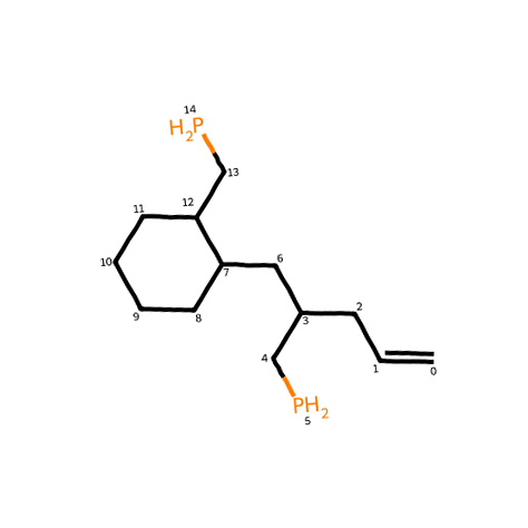 C=CCC(CP)CC1CCCCC1CP